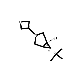 CC(C)(C)[C@@H]1C2CN(C3COC3)C[C@H]21